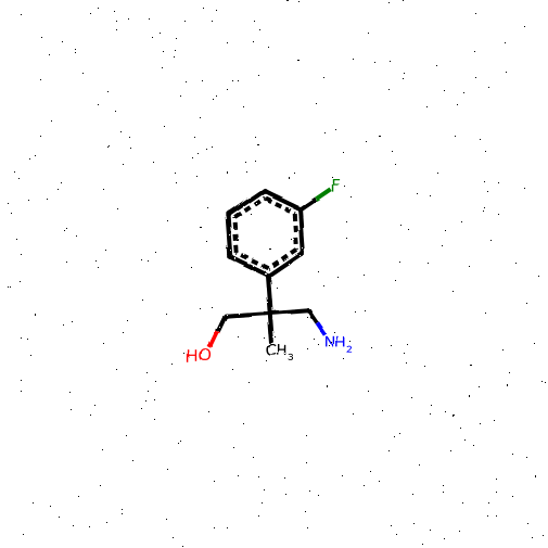 CC(CN)(CO)c1cccc(F)c1